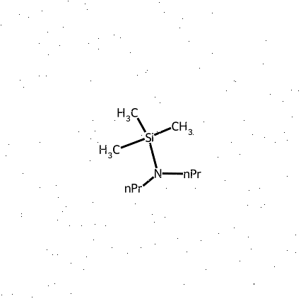 CCCN(CCC)[Si](C)(C)C